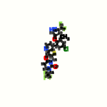 Cc1cc(Cl)cc(-c2ccnc3cc(Cn4c(=O)ccn(CC(F)(F)F)c4=O)sc23)c1O[C@H]1CN[C@H](C(F)F)C1